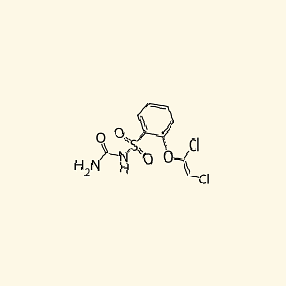 NC(=O)NS(=O)(=O)c1ccccc1OC(Cl)=CCl